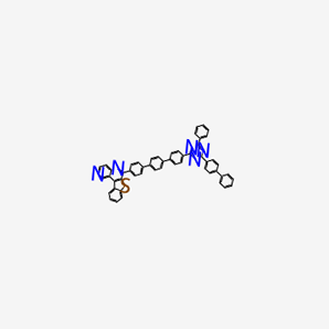 c1ccc(-c2ccc(-c3nc(-c4ccccc4)nc(-c4ccc(-c5ccc(-c6ccc(-c7nc8ccncc8c8c7sc7ccccc78)cc6)cc5)cc4)n3)cc2)cc1